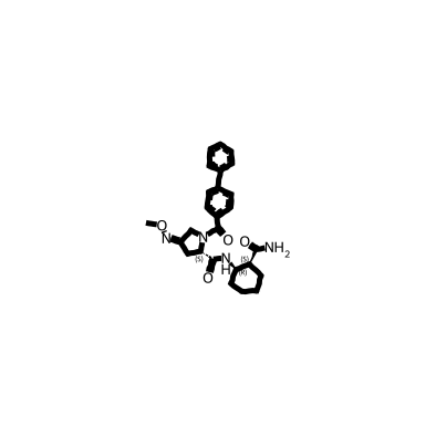 CON=C1C[C@@H](C(=O)N[C@@H]2CCCC[C@@H]2C(N)=O)N(C(=O)c2ccc(-c3ccccc3)cc2)C1